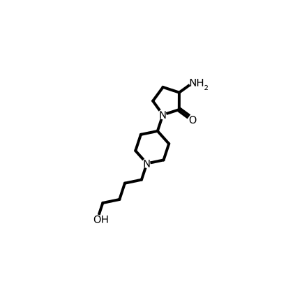 NC1CCN(C2CCN(CCCCO)CC2)C1=O